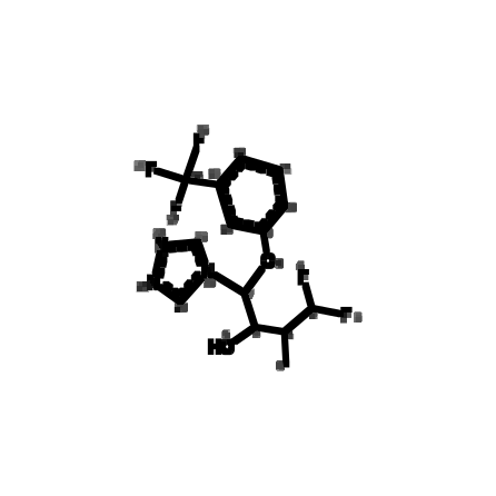 CC(C(F)F)C(O)C(Oc1cccc(C(F)(F)F)c1)n1cnnc1